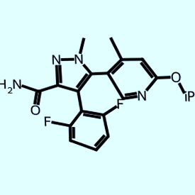 Cc1cc(OC(C)C)ncc1-c1c(-c2c(F)cccc2F)c(C(N)=O)nn1C